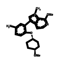 COc1nccc2c(-c3cc(N)ccc3O[C@H]3CC[C@H](OC)CC3)cn(C)c12